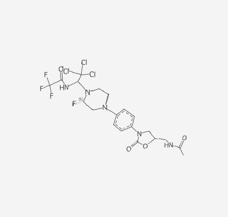 CC(=O)NCC1CN(c2ccc(N3CCN(C(NC(=O)C(F)(F)F)C(Cl)(Cl)Cl)[C@@H](F)C3)cc2)C(=O)O1